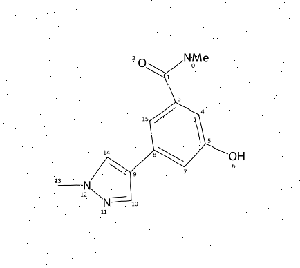 CNC(=O)c1cc(O)cc(-c2cnn(C)c2)c1